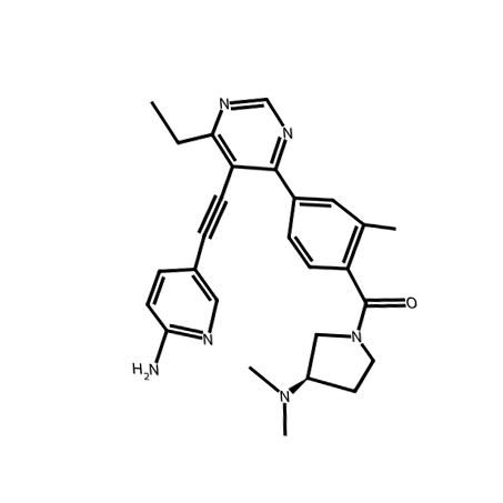 CCc1ncnc(-c2ccc(C(=O)N3CC[C@@H](N(C)C)C3)c(C)c2)c1C#Cc1ccc(N)nc1